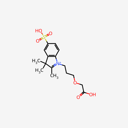 CC1=[N+](CCCOCC(=O)O)c2ccc(S(=O)(=O)O)cc2C1(C)C